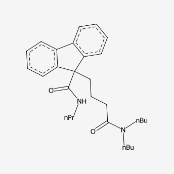 CCCCN(CCCC)C(=O)CCCC1(C(=O)NCCC)c2ccccc2-c2ccccc21